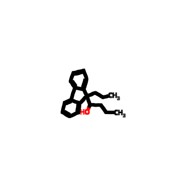 CCCC(O)C1(CCC)c2ccccc2-c2ccccc21